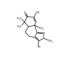 CC(C)c1c2c(nn1C)C1(C)C=C(C#N)C(=O)C(C)(C)C1CC2